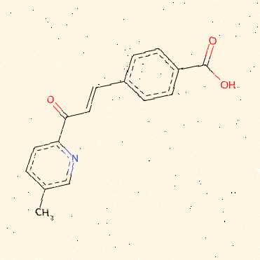 Cc1ccc(C(=O)C=Cc2ccc(C(=O)O)cc2)nc1